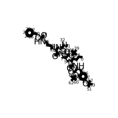 CCCCN(C[C@@H](CNC(=O)[C@H](CCCCNC(=O)OCc1ccccc1)NC(=O)N(C)C)C(=O)OC(C)(C)C)C(=O)N[C@@H](Cc1ccc(OC(C)(C)C)cc1)C(=O)OC(C)(C)C